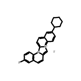 Fc1ccc2c(ccc3c[n+]4c5ccc(C6CCCCC6)cc5ccc4n32)c1.[I-]